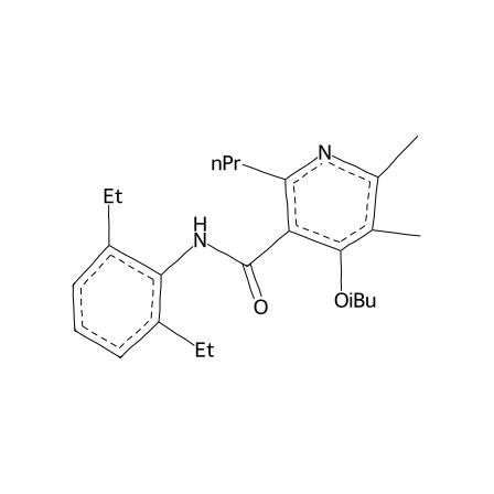 CCCc1nc(C)c(C)c(OCC(C)C)c1C(=O)Nc1c(CC)cccc1CC